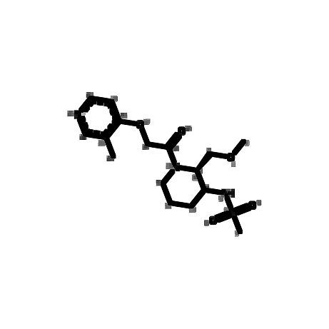 COC[C@H]1C(NS(C)(=O)=O)CCCN1C(=O)COc1ccncc1C